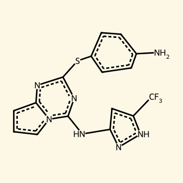 Nc1ccc(Sc2nc(Nc3cc(C(F)(F)F)[nH]n3)n3cccc3n2)cc1